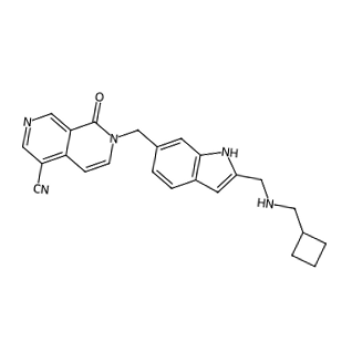 N#Cc1cncc2c(=O)n(Cc3ccc4cc(CNCC5CCC5)[nH]c4c3)ccc12